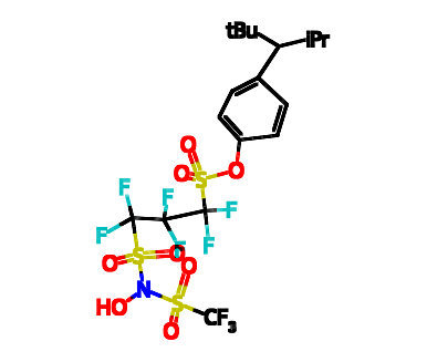 CC(C)C(c1ccc(OS(=O)(=O)C(F)(F)C(F)(F)C(F)(F)S(=O)(=O)N(O)S(=O)(=O)C(F)(F)F)cc1)C(C)(C)C